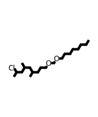 CCCCCCCCOCOCCCC(C)CC(C)CC(C)Cl